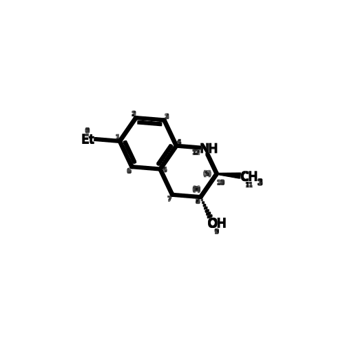 CCc1ccc2c(c1)C[C@@H](O)[C@H](C)N2